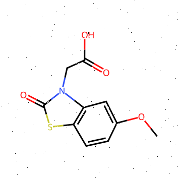 COc1ccc2sc(=O)n(CC(=O)O)c2c1